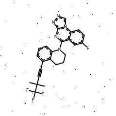 CC(C)(C#Cc1cccc2c1CCCN2c1nc2nncn2c2ccc(F)cc12)C(F)(F)F